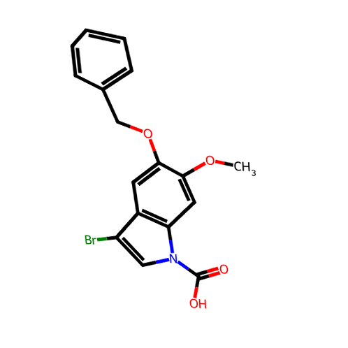 COc1cc2c(cc1OCc1ccccc1)c(Br)cn2C(=O)O